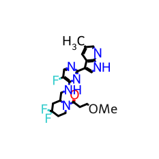 COCCC(=O)N1CCC(F)(F)CC1CNc1nc(-c2c[nH]c3ncc(C)cc23)ncc1F